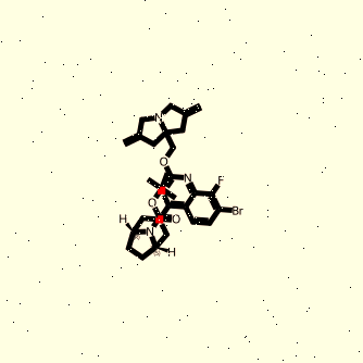 C=C1CN2CC(=C)CC2(COc2nc(N3C[C@H]4CC[C@@H](C3)N4C(=O)OC(C)(C)C)c3ccc(Br)c(F)c3n2)C1